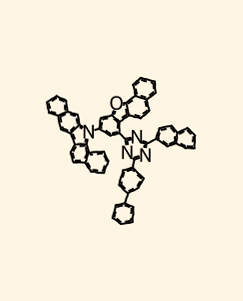 c1ccc(-c2ccc(-c3nc(-c4ccc5ccccc5c4)nc(-c4cc(-n5c6cc7ccccc7cc6c6ccc7ccccc7c65)cc5oc6c7ccccc7ccc6c45)n3)cc2)cc1